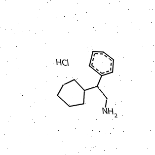 Cl.NCC(c1ccccc1)C1CCCCC1